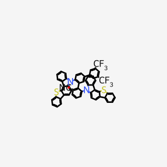 N#Cc1cccc(-n2c3ccccc3c3c4sc5ccccc5c4ccc32)c1-c1cc(-c2cc(C(F)(F)F)cc(C(F)(F)F)c2)ccc1-n1c2ccccc2c2c3sc4ccccc4c3ccc21